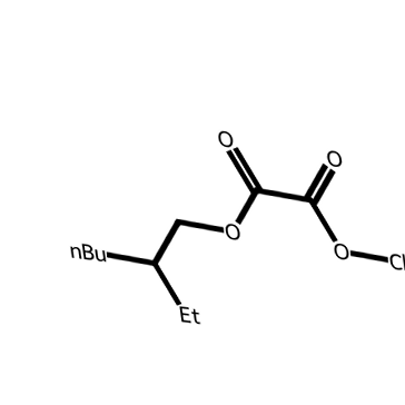 CCCCC(CC)COC(=O)C(=O)OCl